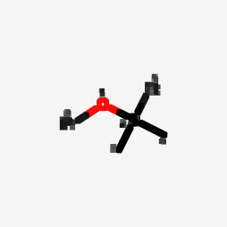 [CH2]C(C)O[Si](C)(C)CC